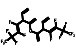 C=CC(C(=C)OC(=C)C(C=C)C(F)=C(F)C(F)(F)C(F)(F)F)C(F)=C(F)C(F)(F)C(F)(F)F